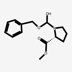 COC(=O)[C@H]1CCCN1C(O)OCc1ccccc1